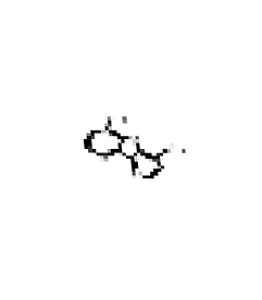 Cc1ccnc2c1oc1c(C)ccnc12